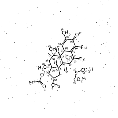 CCC(=O)O[C@H]1[C@@H](C)C[C@H]2[C@@H]3C[C@H](F)C4=C(F)C(=O)C(C)=C[C@]4(C)[C@H]3[C@@H](O)C[C@@]21C.O=C(O)SC(=O)O